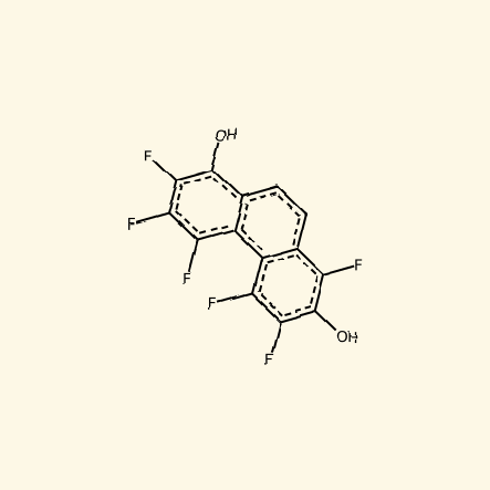 Oc1c(F)c(F)c2c(ccc3c(O)c(F)c(F)c(F)c32)c1F